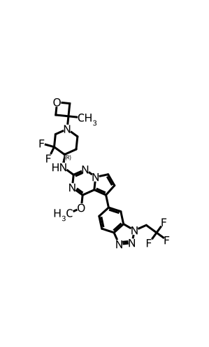 COc1nc(N[C@@H]2CCN(C3(C)COC3)CC2(F)F)nn2ccc(-c3ccc4nnn(CC(F)(F)F)c4c3)c12